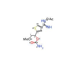 COCC(OC(N)=O)c1cc(C(=N)NOC(C)=O)cs1